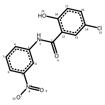 O=C(Nc1cccc([N+](=O)[O-])c1)c1cc(Cl)ccc1O